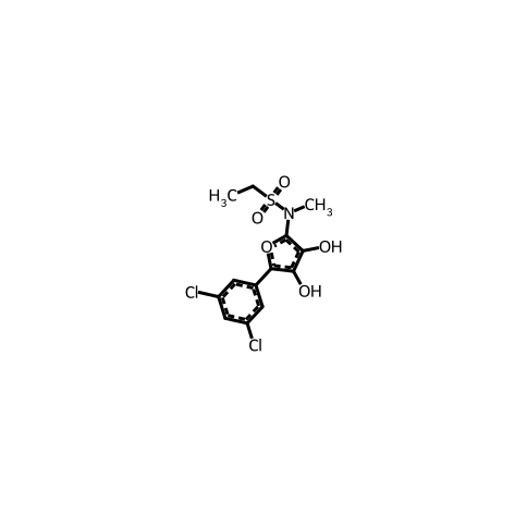 CCS(=O)(=O)N(C)c1oc(-c2cc(Cl)cc(Cl)c2)c(O)c1O